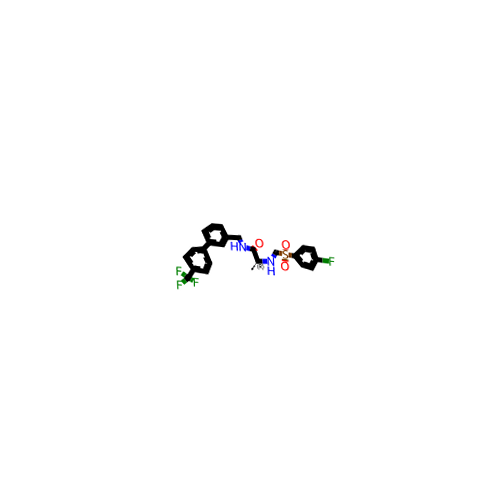 C[C@@H](NCS(=O)(=O)c1ccc(F)cc1)C(=O)NCc1cccc(-c2ccc(C(F)(F)F)cc2)c1